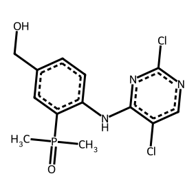 CP(C)(=O)c1cc(CO)ccc1Nc1nc(Cl)ncc1Cl